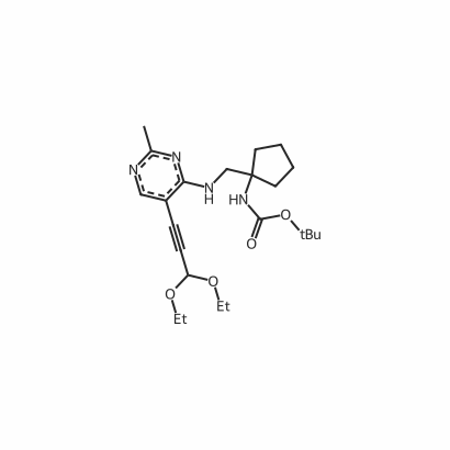 CCOC(C#Cc1cnc(C)nc1NCC1(NC(=O)OC(C)(C)C)CCCC1)OCC